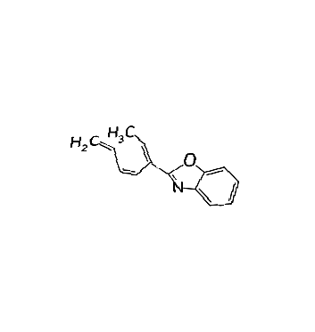 C=C/C=C\C(=C/C)c1nc2ccccc2o1